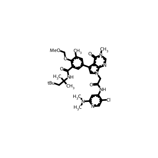 COCOc1c(C)cc(-c2cn(CC(=O)Nc3cc(N(C)C)ncc3Cl)c3ncn(C)c(=O)c23)cc1C(=O)NC(C)(C)CC(C)(C)C